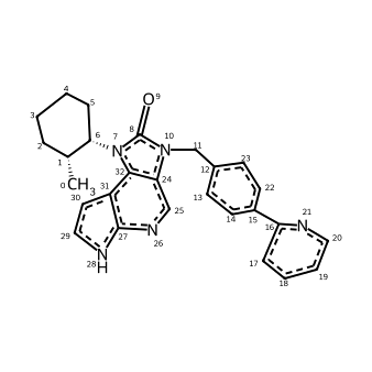 C[C@@H]1CCCC[C@@H]1n1c(=O)n(Cc2ccc(-c3ccccn3)cc2)c2cnc3[nH]ccc3c21